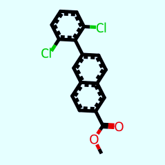 COC(=O)c1ccc2cc(-c3c(Cl)cccc3Cl)ccc2c1